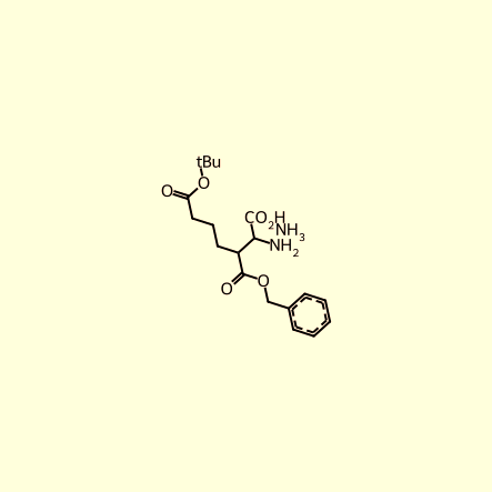 CC(C)(C)OC(=O)CCCC(C(=O)OCc1ccccc1)C(N)C(=O)O.N